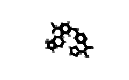 CCN(C(=O)c1ccc(Nc2ncc(N(C)C)c(N3CCc4nc[nH]c4C3)n2)cc1)N1CCCC1